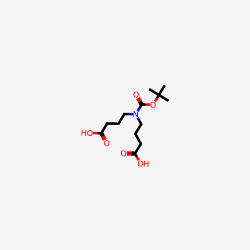 CC(C)(C)OC(=O)N(CCCC(=O)O)CCCC(=O)O